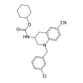 N#Cc1ccc2c(c1)CC(NC(=O)OC1CCCCC1)CN2Cc1cccc(Cl)c1